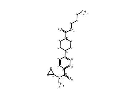 CCCCOC(=O)N1CCC(c2ccc(C(=O)N(C)C3CC3)cc2)CC1